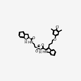 Cc1cc(OCCCc2c(C(=O)NS(=O)(=O)CCNC(=O)[C@@H]3Cc4ccccc4N3)[nH]c3ccccc23)cc(C)c1Cl